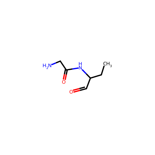 CCC(C=O)NC(=O)CN